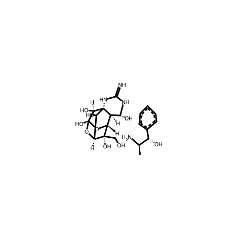 C[C@@H](N)[C@@H](O)c1ccccc1.N=C1N[C@H](O)[C@H]2[C@H]3O[C@]4(O)O[C@@H](C(O)[C@@]2(N1)[C@@H]4O)[C@]3(O)CO